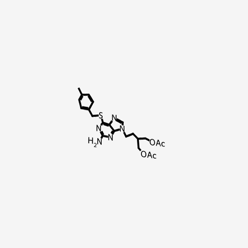 CC(=O)OCC(CCn1cnc2c(SCc3ccc(C)cc3)nc(N)nc21)COC(C)=O